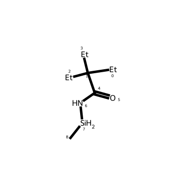 CCC(CC)(CC)C(=O)N[SiH2]C